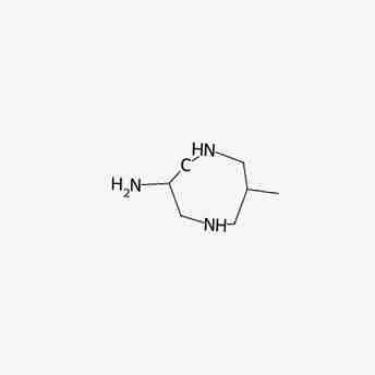 CC1CNCC(N)CNC1